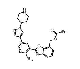 CC(C)(C)C(=O)OCc1cccc2nc(-c3cc(-c4cnn(C5CCNCC5)c4)cnc3N)oc12